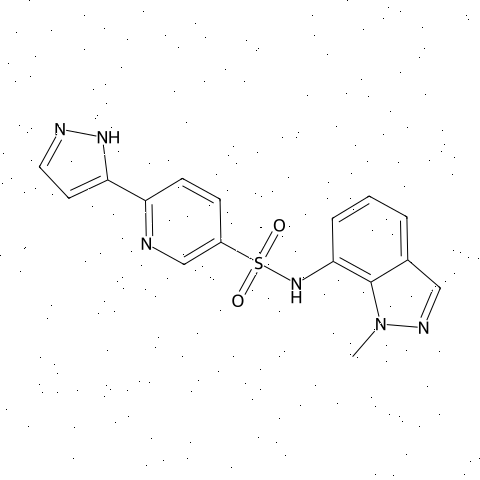 Cn1ncc2cccc(NS(=O)(=O)c3ccc(-c4ccn[nH]4)nc3)c21